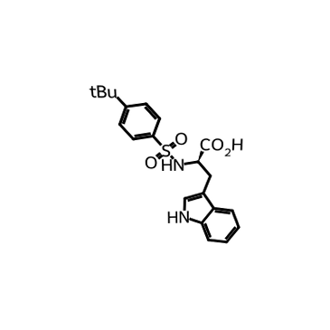 CC(C)(C)c1ccc(S(=O)(=O)N[C@H](Cc2c[nH]c3ccccc23)C(=O)O)cc1